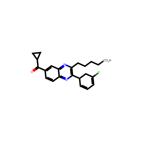 O=C(O)CCCCc1nc2cc(C(=O)C3CC3)ccc2nc1C1C=CC=C(F)C1